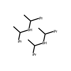 CC(C)C(C)BC(C)C(C)C.CC(C)C(C)BC(C)C(C)C